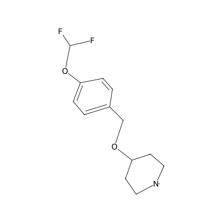 FC(F)Oc1ccc(COC2CC[N]CC2)cc1